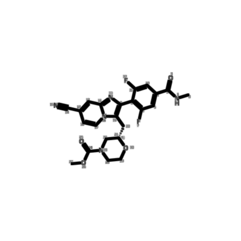 CNC(=O)c1cc(F)c(-c2nc3cc(C#N)ccn3c2C[C@H]2CN(C(=O)OC)CCO2)c(F)c1